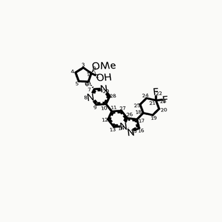 CO[C@@]1(O)CCC[C@H]1c1ncc(-c2ccn3ncc(C4CCC(F)(F)CC4)c3c2)cn1